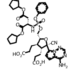 N#C[C@@]1(c2ccc3c(N)ncnn23)O[C@@H](COP(=O)(N[C@@H](CC(=O)OC2CCCC2)C(=O)OC2CCCC2)Oc2ccccc2)[C@H](CCC(=O)O)[C@H]1CCC(=O)O